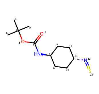 CC(C)(C)OC(=O)N[C@H]1CC[C@H](N=S)CC1